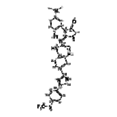 CC(C)c1ccc(N(C)C)cc1N1C(=O)CS/C1=N\C(=O)Nc1ccc(-c2ncn(-c3ccc(SC(F)(F)F)cc3)n2)cc1F